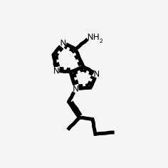 CCCC(C)=Cn1cnc2c(N)ncnc21